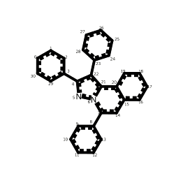 c1ccc(-c2nn3c(-c4ccccc4)cc4ccccc4c3c2-c2ccccc2)cc1